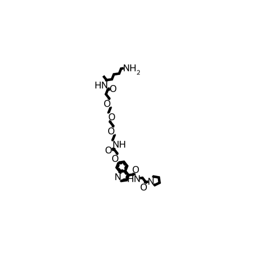 CC(CCCCN)NC(=O)CCOCCOCCOCCNC(=O)COc1ccc2c(C(=O)NCC(=O)N3CCCC3)ccnc2c1